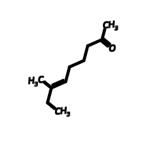 CCC(C)=CCCCC(C)=O